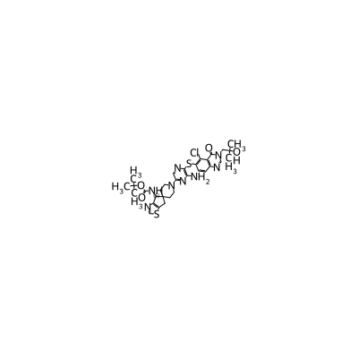 CC(C)(O)Cn1cnc2ccc(Sc3ncc(N4CCC5(CC4)Cc4scnc4[C@H]5NC(=O)OC(C)(C)C)nc3N)c(Cl)c2c1=O